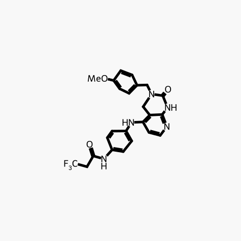 COc1ccc(CN2Cc3c(Nc4ccc(NC(=O)CC(F)(F)F)cc4)ccnc3NC2=O)cc1